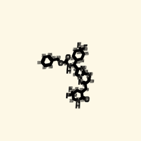 O=C(N[C@H](c1cn2nc(CC3CC(F)(F)CNC3=O)cnc2n1)C1CCC(F)(F)CC1)OCc1ccccc1